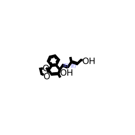 CC1=CC2(OCCO2)c2ccccc2C1(O)/C=C/C(C)=C/CO